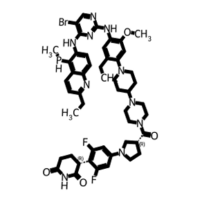 CCc1ccc2c(PC)c(Nc3nc(Nc4cc(CC)c(N5CCC(N6CCN(C(=O)[C@@H]7CCN(c8cc(F)c([C@H]9CCC(=O)NC9=O)c(F)c8)C7)CC6)CC5)cc4OC)ncc3Br)ccc2n1